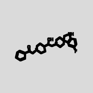 O=C(CN1CCC(C(O)CN2CCC3(CC2)CNc2ccc(F)cc23)CC1)c1ccccc1